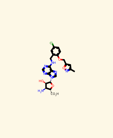 Cc1cc(COc2ccc(Cl)cc2CNc2ncnc3c2ncn3[C@@H]2O[C@H](C(=O)O)[C@@H](N)[C@H]2O)on1